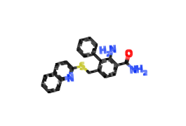 NC(=O)c1ccc(CSc2ccc3ccccc3n2)c(-c2ccccc2)c1N